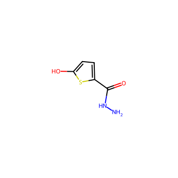 NNC(=O)c1ccc(O)s1